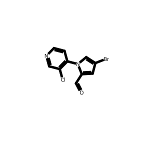 O=Cc1cc(Br)cn1-c1ccncc1Cl